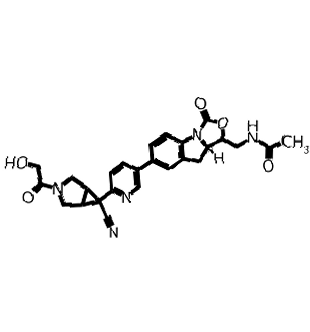 CC(=O)NCC1OC(=O)N2c3ccc(-c4ccc(C5(C#N)C6CN(C(=O)CO)CC65)nc4)cc3C[C@@H]12